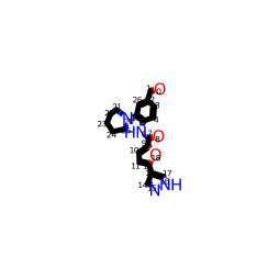 O=Cc1ccc(NC(=O)c2ccc(-c3cn[nH]c3)o2)c(N2CCCCC2)c1